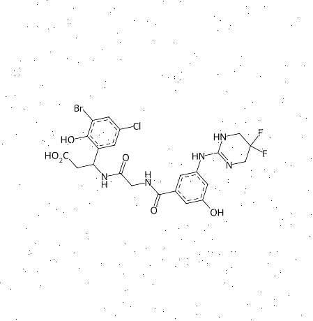 O=C(O)CC(NC(=O)CNC(=O)c1cc(O)cc(NC2=NCC(F)(F)CN2)c1)c1cc(Cl)cc(Br)c1O